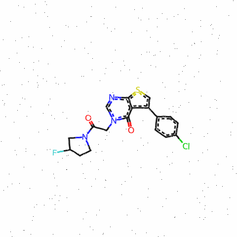 O=C(Cn1cnc2scc(-c3ccc(Cl)cc3)c2c1=O)N1CCC(F)C1